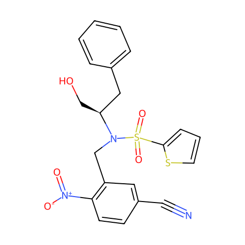 N#Cc1ccc([N+](=O)[O-])c(CN([C@@H](CO)Cc2ccccc2)S(=O)(=O)c2cccs2)c1